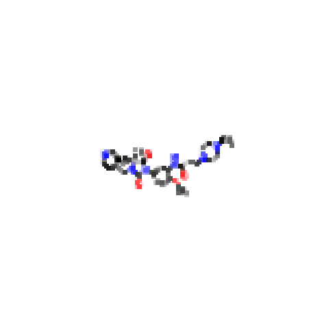 CN1CCN(CCC(=O)Nc2cc(N3C(=O)N(Cc4ccncc4)C(C)(C)C3=O)ccc2OC(F)(F)F)CC1